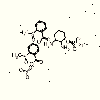 CS(=O)c1ccccc1C(=O)[O-].CS(=O)c1ccccc1C(=O)[O-].NC1CCCCC1N.O=[N+]([O-])[O-].O=[N+]([O-])[O-].[Pt+4]